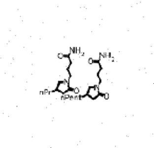 CCCC1CC(=O)N(CCCC(N)=O)C1.CCCCCC1CC(=O)N(CCCC(N)=O)C1